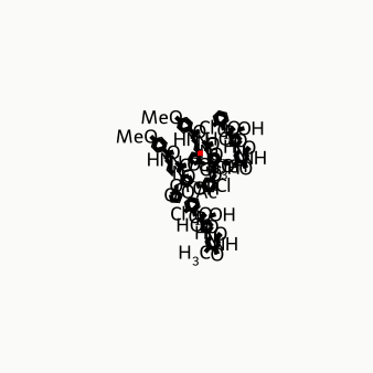 COc1ccc(C(=O)Nc2ccn([C@@H]3O[C@H](CO)[C@@H](OC(C)=O)[C@H]3OC3CCCO3)c(=O)n2)cc1.COc1ccc(C(=O)Nc2ccn([C@@H]3O[C@H](CO)[C@](O)([PH](=O)Oc4ccccc4Cl)[C@H]3OC3CCCO3)c(=O)n2)cc1.Cc1cn([C@H]2C[C@@](O)([PH](=O)Oc3ccccc3Cl)[C@@H](CO)O2)c(=O)[nH]c1=O.Cc1cn([C@H]2C[C@@](O)([PH](=O)Oc3ccccc3Cl)[C@@H](CO)O2)c(=O)[nH]c1=O